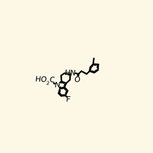 Cc1cccc(CCC(=O)N[C@@H]2CCc3c(c4cc(F)ccc4n3CC(=O)O)C2)c1